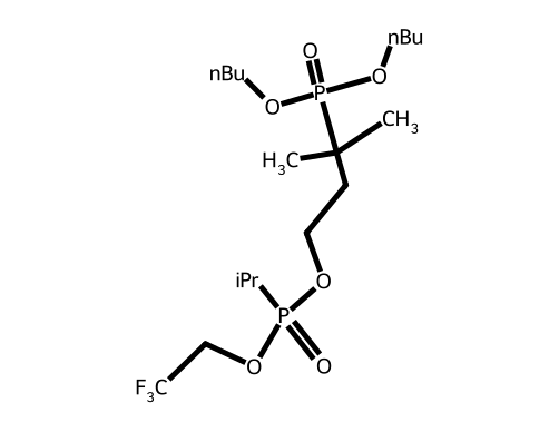 CCCCOP(=O)(OCCCC)C(C)(C)CCOP(=O)(OCC(F)(F)F)C(C)C